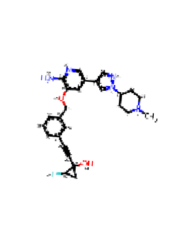 CN1CCC(n2cc(-c3cnc(N)c(OCc4cccc(C#CC5(O)CC5F)c4)c3)cn2)CC1